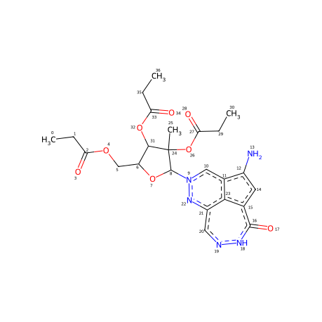 CCC(=O)OCC1OC(n2cc3c(N)cc4c(=O)[nH]ncc(n2)c34)C(C)(OC(=O)CC)C1OC(=O)CC